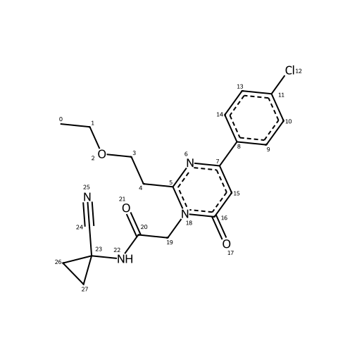 CCOCCc1nc(-c2ccc(Cl)cc2)cc(=O)n1CC(=O)NC1(C#N)CC1